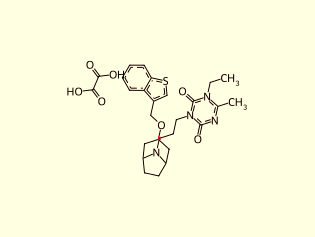 CCn1c(C)nc(=O)n(CCCN2C3CCC2CC(OCc2csc4ccccc24)C3)c1=O.O=C(O)C(=O)O